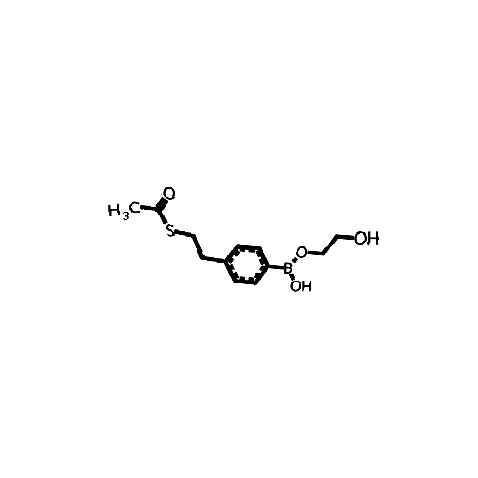 CC(=O)SCCc1ccc(B(O)OCCO)cc1